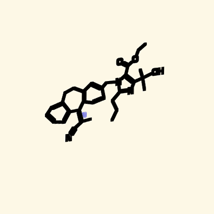 CCCc1nc(C(C)(C)O)c(C(=O)OCC)n1Cc1ccc2c(c1)CCc1ccccc1/C2=C(/C)C#N